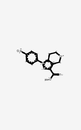 COC(=O)c1nn(-c2ccc([N+](=O)[O-])cc2)c2c1COCC2